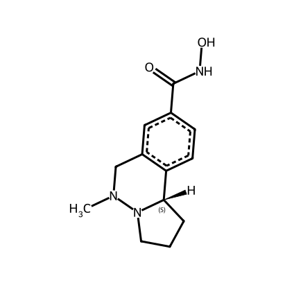 CN1Cc2cc(C(=O)NO)ccc2[C@@H]2CCCN21